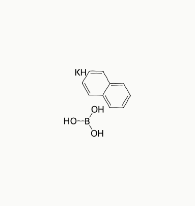 OB(O)O.[KH].c1ccc2ccccc2c1